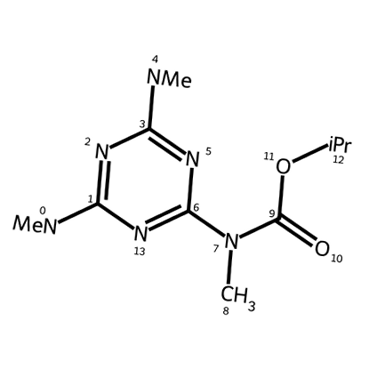 CNc1nc(NC)nc(N(C)C(=O)OC(C)C)n1